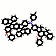 Cc1ccc(N(c2ccc3c(c2)C(C)(C)c2c4c(c5c(oc6ccccc65)c2-3)-c2ccccc2C4(C)C)c2ccc3c(c2)C2(c4ccccc4-c4ccccc42)c2cc4c(cc2-3)C2(c3ccccc3-c3ccccc32)c2ccc3oc5ccccc5c3c2-4)cc1